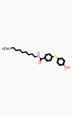 CCCCCCCCCCCCCCCCCCNC(=O)c1ccc(Sc2ccc(O)cc2)cc1